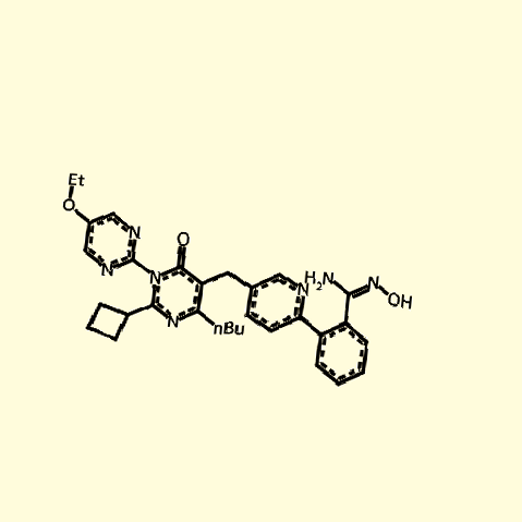 CCCCc1nc(C2CCC2)n(-c2ncc(OCC)cn2)c(=O)c1Cc1ccc(-c2ccccc2/C(N)=N\O)nc1